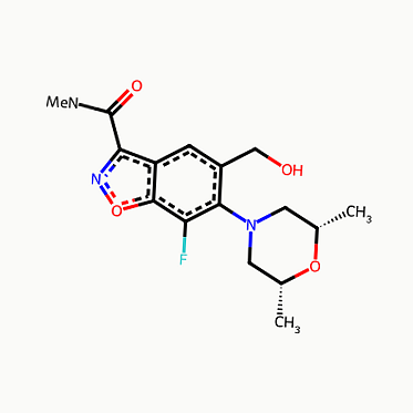 CNC(=O)c1noc2c(F)c(N3C[C@@H](C)O[C@@H](C)C3)c(CO)cc12